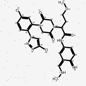 CN/C=C1/C=C(NC(=O)C(CCOC)N2CC(=O)N(c3cc(Cl)ccc3-n3cc(Cl)nn3)CC2=O)C=CC1=N